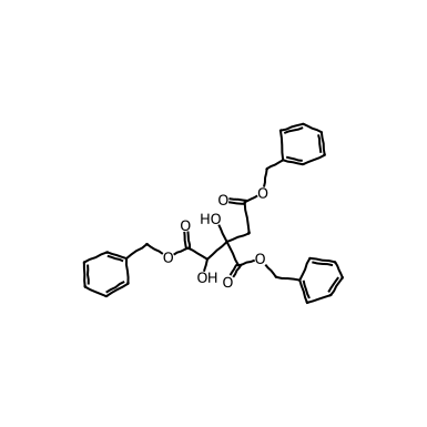 O=C(CC(O)(C(=O)OCc1ccccc1)C(O)C(=O)OCc1ccccc1)OCc1ccccc1